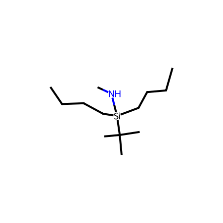 CCCC[Si](CCCC)(NC)C(C)(C)C